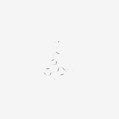 COc1cccc(-n2nc(NC(=O)[C@@H]3CNC(=O)C3)cc2-c2cccc(OC(F)(F)F)c2)c1